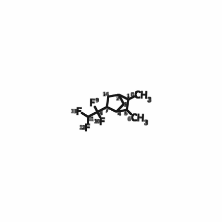 CC1C2CC(C1C)C(C(F)(F)C(F)F)C2